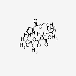 CC(C)(C)OC(=O)OC(=O)OC(C)(C)C.CCOC(=O)c1cc[nH]n1